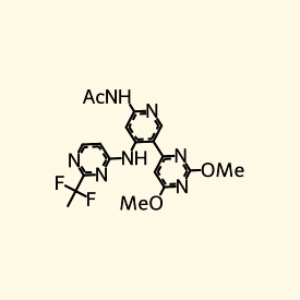 COc1cc(-c2cnc(NC(C)=O)cc2Nc2ccnc(C(C)(F)F)n2)nc(OC)n1